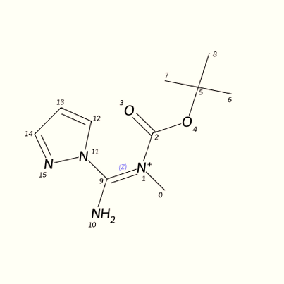 C/[N+](C(=O)OC(C)(C)C)=C(\N)n1cccn1